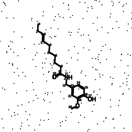 CCC=CCCCCCC(=O)NCc1ccc(O)c(OC)c1